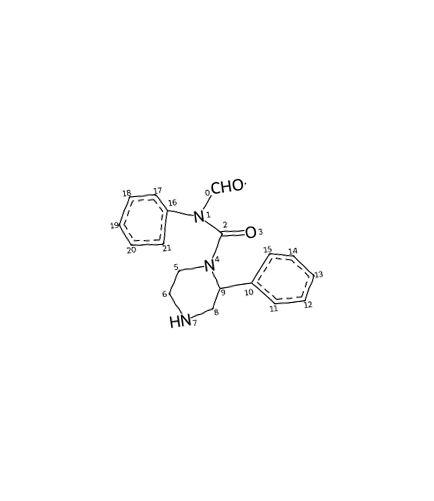 O=[C]N(C(=O)N1CCNCC1c1ccccc1)c1ccccc1